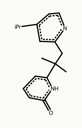 CC(C)c1ccnc(CC(C)(C)c2cccc(=O)[nH]2)c1